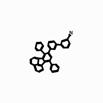 N#Cc1cccc(-c2cccc(-c3cc(-c4ccccc4)c4c(c3-c3ccccc3)-c3cccc5cccc-4c35)c2)c1